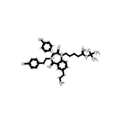 CC(C)(C)OC(=O)CCCCN1C(=O)[C@@H](c2ccc(Cl)cc2)N(CCc2ccc(Cl)cc2)C(=O)c2cc(CCO)ccc21